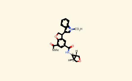 CNC(=O)c1cc(C(=O)N[C@@H]2[C@@H]3COC[C@@H]32)cc2c1OCC2c1cn(C(=O)O)c2ccccc12